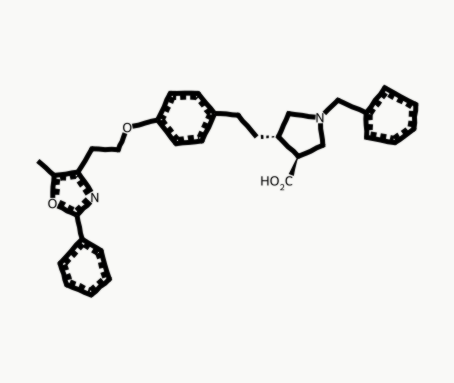 Cc1oc(-c2ccccc2)nc1CCOc1ccc(CC[C@@H]2CN(Cc3ccccc3)C[C@H]2C(=O)O)cc1